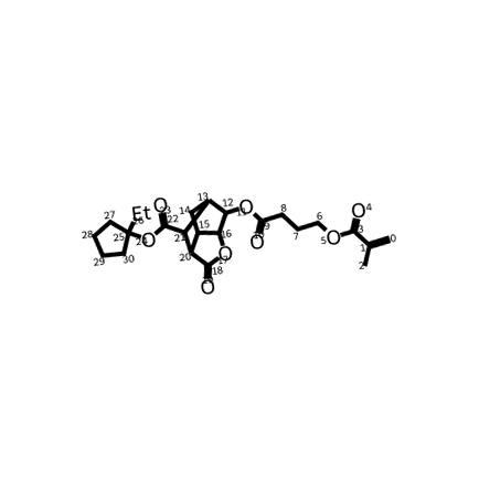 C=C(C)C(=O)OCCCC(=O)OC1C2CC3C1OC(=O)C3C2C(=O)OC1(CC)CCCC1